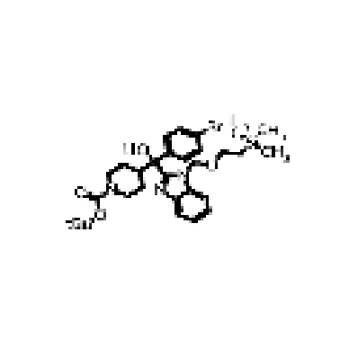 CC(C)(C)OC(=O)N1CCC(C(O)(c2ccc(Br)cc2)c2nc3ccccc3n2COCC[Si](C)(C)C)CC1